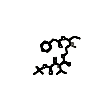 CCC(OC(=O)Cc1ccccc1)[C@H](C)CCOC(=O)[C@@H](NC(=O)OC(C)(C)C)C(C)C